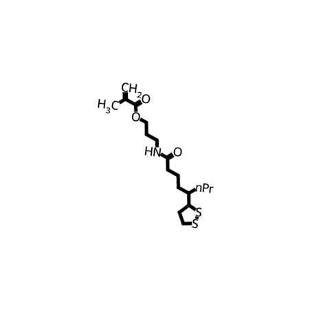 C=C(C)C(=O)OCCCNC(=O)CCCC(CCC)C1CCSS1